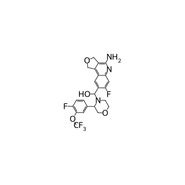 Nc1nc2cc(F)c(C(O)N3CCOCC3c3ccc(F)c(OC(F)(F)F)c3)cc2c2c1COC2